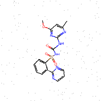 COc1cc(C)nc(NC(=O)NS(=O)(=O)c2ccccc2-c2ncccn2)n1